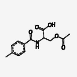 CC(=O)OCC(NC(=O)c1ccc(C)cc1)C(=O)O